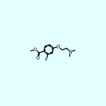 COC(=O)c1ccc(OCCN(C)C)cc1F